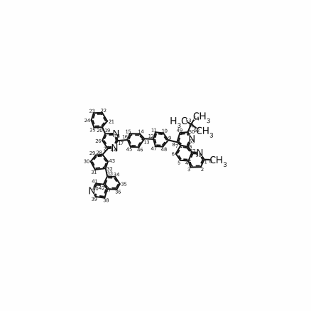 Cc1ccc2ccc3c(-c4ccc(-c5ccc(-c6nc(-c7ccccc7)cc(-c7cccc(-c8cccc9ccncc89)c7)n6)cc5)cc4)cc(C(C)(C)C)nc3c2n1